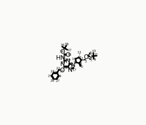 C=C1[C@H](CO[Si](C)(C)C(C)(C)C)[C@@H](C)C[C@@H]1n1cnc2c(OCc3ccccc3)nc(NC(=O)OC(C)(C)C)nc21